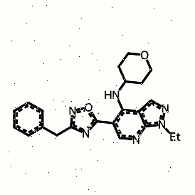 CCn1ncc2c(NC3CCOCC3)c(-c3nc(Cc4ccccc4)no3)cnc21